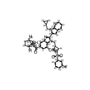 COc1cc(C(=O)N2C[C@H]3CC[C@@H]2[C@@H]3N)cc2nc(-c3cc4cccnc4n3CC3CC3)n(CC3CN(S(=O)(=O)c4cccc(F)c4)C3)c12